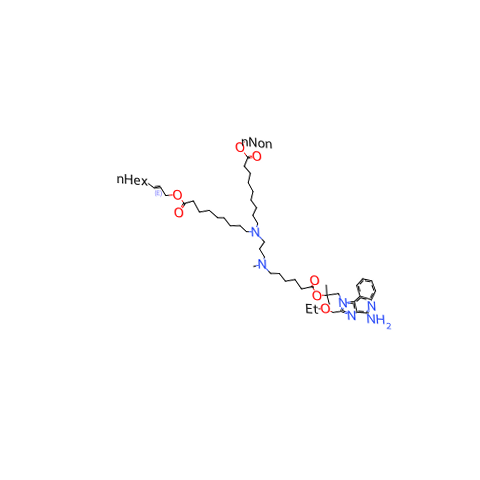 CCCCCC/C=C/COC(=O)CCCCCCCCN(CCCCCCCCC(=O)OCCCCCCCCC)CCCN(C)CCCCCC(=O)OC(C)(C)Cn1c(COCC)nc2c(N)nc3ccccc3c21